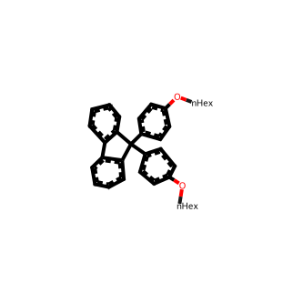 CCCCCCOc1ccc(C2(c3ccc(OCCCCCC)cc3)c3c[c]ccc3-c3cc[c]cc32)cc1